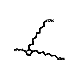 CCCCCCCCCCCCCCCCCCCC1N(CCCCC)C=CN1CCCCCCCCCCCCCCCCC